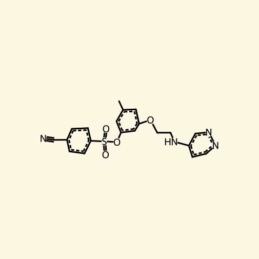 Cc1cc(OCCNc2ccnnc2)cc(OS(=O)(=O)c2ccc(C#N)cc2)c1